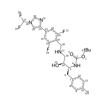 CC(C)(C)OC(=O)N[C@@H](Cc1ccc(I)cc1)[C@@H](O)CNCc1c(F)cc(-c2cn(C(F)F)cn2)cc1F